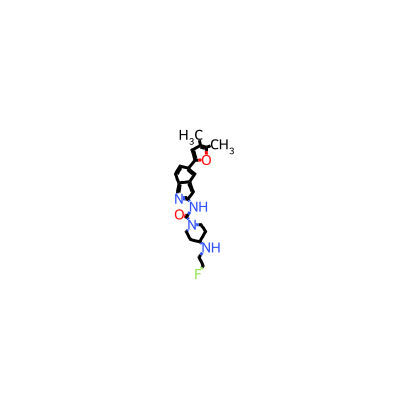 Cc1cc(-c2ccc3cnc(NC(=O)N4CCC(NCCF)CC4)cc3c2)oc1C